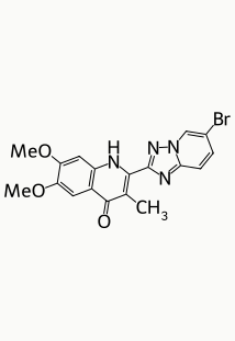 COc1cc2[nH]c(-c3nc4ccc(Br)cn4n3)c(C)c(=O)c2cc1OC